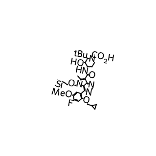 COc1cc(-c2ncnc3c(C(=O)N[C@@H]4CCN(C(=O)O)C(C(C)(C)C)[C@@H]4O)c(C)n(COCC[Si](C)(C)C)c23)c(OCC2CC2)cc1F